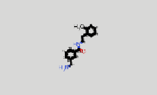 Cc1ccccc1CCNC(=O)c1cccc(CN)c1